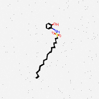 CCCCCCCCCCCCCCCCS(=O)(=O)Nc1ccccc1O